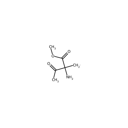 [CH2]C(N)(C(C)=O)C(=O)OC